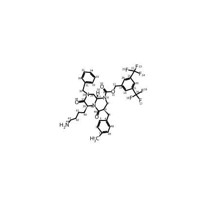 Cc1ccc(C[C@@H]2CN(C(=O)OCc3cc(C(F)(F)F)cc(C(F)(F)F)c3)[C@H]3CN(Cc4ccccc4)C(=O)[C@H](CCCCN)N3C2=O)cc1